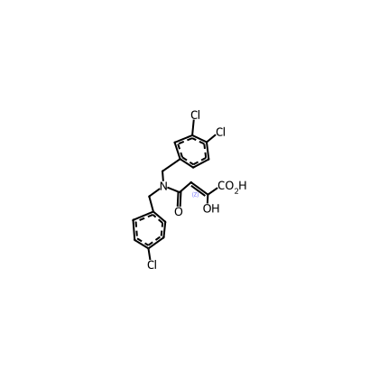 O=C(O)/C(O)=C/C(=O)N(Cc1ccc(Cl)cc1)Cc1ccc(Cl)c(Cl)c1